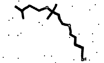 CC(C)CCOC(C)(C)CCOCCCCO